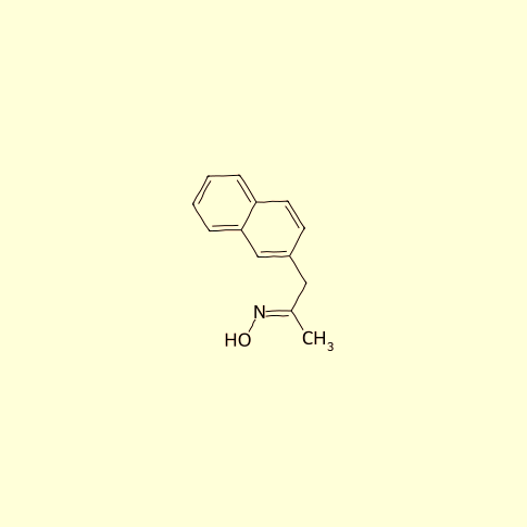 CC(Cc1ccc2ccccc2c1)=NO